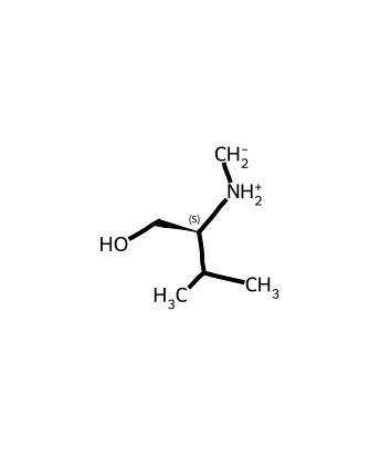 [CH2-][NH2+][C@H](CO)C(C)C